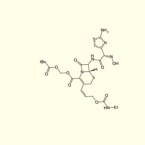 CCNC(=O)OC/C=C\C1=C(C(=O)OCOC(=O)C(C)(C)C)N2C(=O)C(NC(=O)/C(=N\O)c3csc(N)n3)[C@@H]2SC1